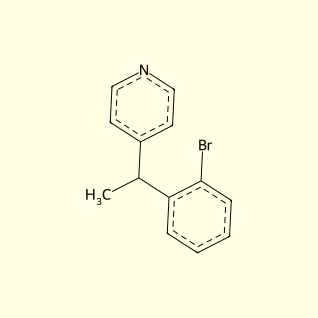 CC(c1ccncc1)c1ccccc1Br